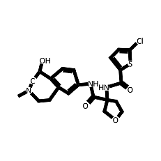 CN1CCc2cc(NC(=O)C3(NC(=O)c4ccc(Cl)s4)CCOC3)ccc2C(O)C1